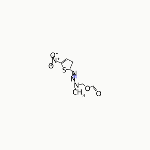 CN(COC=O)/N=N/C1CC=C([N+](=O)[O-])S1